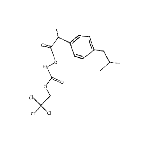 CC(C)Cc1ccc(C(C)C(=O)ONC(=O)OCC(Cl)(Cl)Cl)cc1